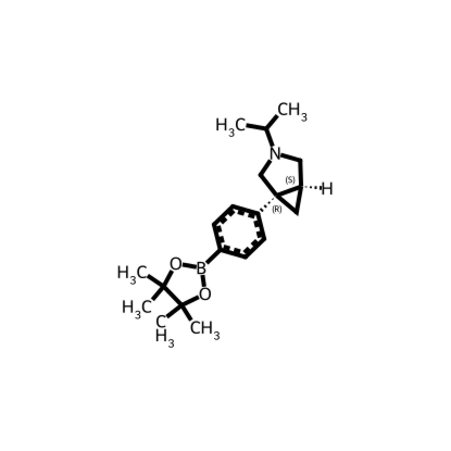 CC(C)N1C[C@H]2C[C@@]2(c2ccc(B3OC(C)(C)C(C)(C)O3)cc2)C1